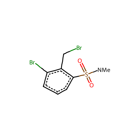 CNS(=O)(=O)c1cccc(Br)c1CBr